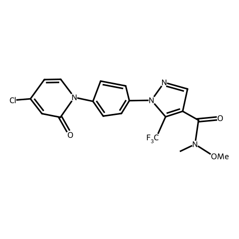 CON(C)C(=O)c1cnn(-c2ccc(-n3ccc(Cl)cc3=O)cc2)c1C(F)(F)F